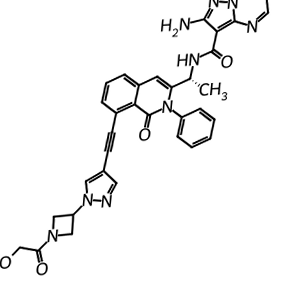 C[C@@H](NC(=O)c1c(N)nn2cccnc12)c1cc2cccc(C#Cc3cnn(C4CN(C(=O)CO)C4)c3)c2c(=O)n1-c1ccccc1